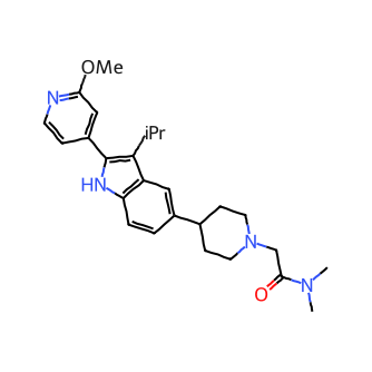 COc1cc(-c2[nH]c3ccc(C4CCN(CC(=O)N(C)C)CC4)cc3c2C(C)C)ccn1